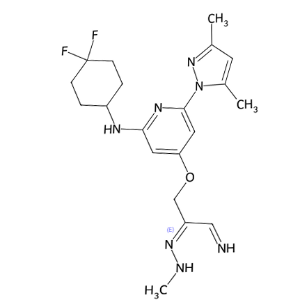 CN/N=C(\C=N)COc1cc(NC2CCC(F)(F)CC2)nc(-n2nc(C)cc2C)c1